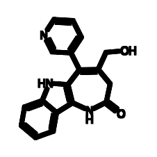 O=C1CC(CO)=C(c2cccnc2)c2[nH]c3ccccc3c2N1